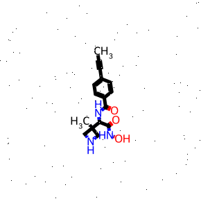 CC#Cc1ccc(C(=O)NC(C(=O)NO)C2(C)CNC2)cc1